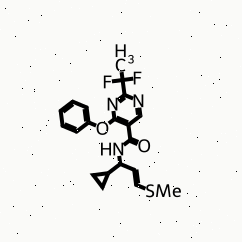 CS/C=C/C(NC(=O)c1cnc(C(C)(F)F)nc1Oc1ccccc1)C1CC1